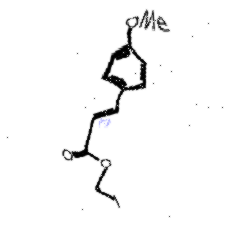 COc1ccc(/C=C/C(=O)OCI)cc1